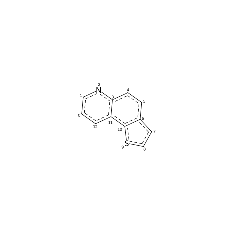 c1cnc2ccc3ccsc3c2c1